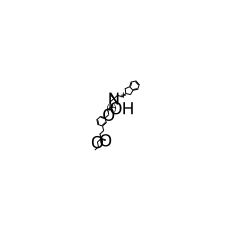 CCOC(=O)CCc1cccc(OC[C@H](O)C[N+](C)(C)CCC2Cc3ccccc3C2)c1